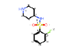 O=S(=O)(NC1CCNCC1)c1c[c]ccc1F